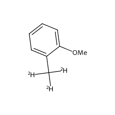 [2H]C([2H])([2H])c1ccccc1OC